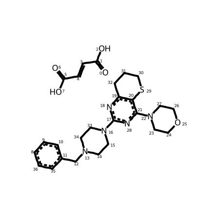 O=C(O)C=CC(=O)O.c1ccc(CN2CCN(c3nc4c(c(N5CCOCC5)n3)SCCC4)CC2)cc1